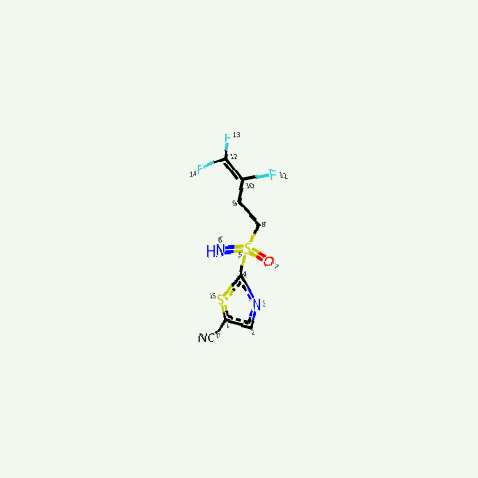 N#Cc1cnc(S(=N)(=O)CCC(F)=C(F)F)s1